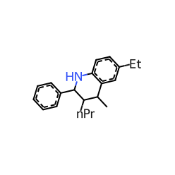 CCCC1C(C)c2cc(CC)ccc2NC1c1ccccc1